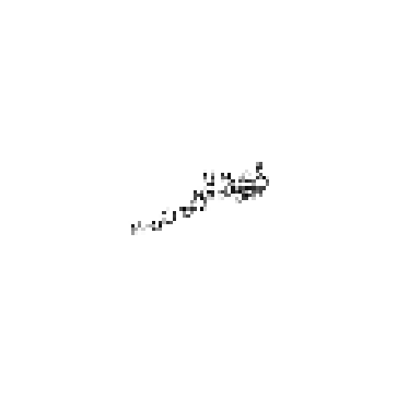 COc1ccc(COc2ccc([C@H](O)CN3C[C@@H]4C[C@@H](Oc5ccccc5F)[C@@H](O)[C@]4(O)C3)nc2)cc1